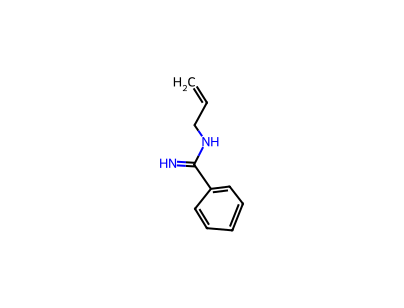 C=CCNC(=N)c1ccccc1